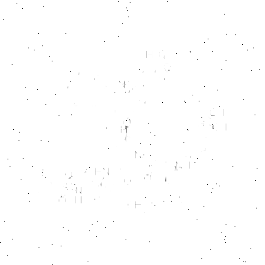 C=C[C@@H]1C[C@]1(NC(=O)[C@@H]1C[C@@H]2CN1C(=O)[C@H](C1CCCCC1)NCCCC(C)(C)C/C=C\c1cc3c(cc(-c4ccccc4)nc3cc1OC)O2)C(=O)NS(=O)(=O)C1CC1